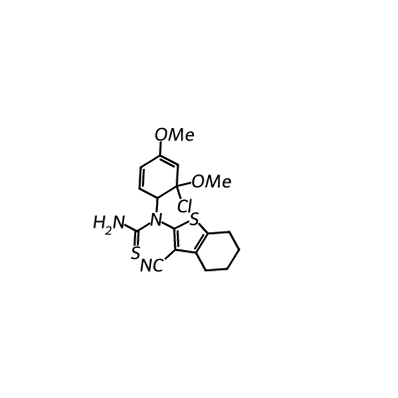 COC1=CC(Cl)(OC)C(N(C(N)=S)c2sc3c(c2C#N)CCCC3)C=C1